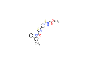 COC(=O)CNC(=S)N1CCC(c2nc(C(=O)Nc3ccc(C)cc3-c3ccccc3)cs2)CC1